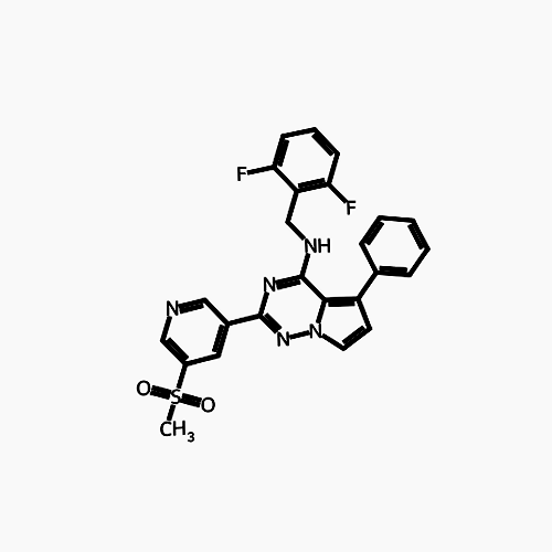 CS(=O)(=O)c1cncc(-c2nc(NCc3c(F)cccc3F)c3c(-c4ccccc4)ccn3n2)c1